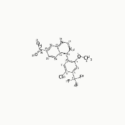 COc1cc(C(F)(F)F)c(Cl)cc1-c1ncnc2cc([SH](=O)=O)ccc12